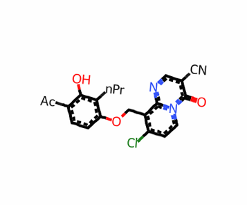 CCCc1c(OCc2c(Cl)ccn3c(=O)c(C#N)cnc23)ccc(C(C)=O)c1O